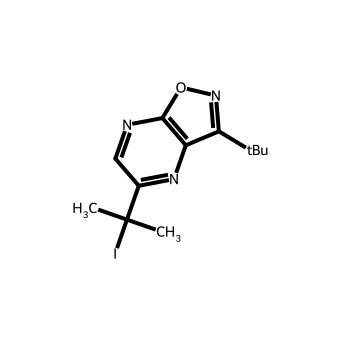 CC(C)(C)c1noc2ncc(C(C)(C)I)nc12